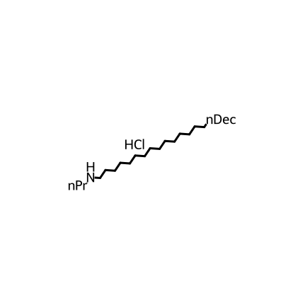 CCCCCCCCCCCCCCCCCCCCCCCCCNCCC.Cl